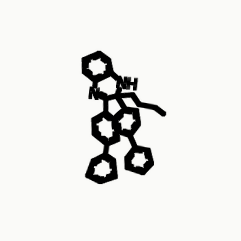 CCCCC1(c2ccc(-c3ccccc3)cc2)Nc2ccccc2N=C1c1ccc(-c2ccccc2)cc1